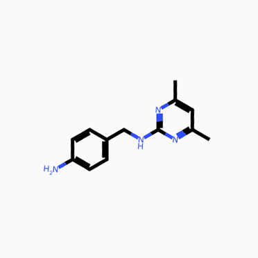 Cc1cc(C)nc(NCc2ccc(N)cc2)n1